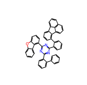 c1ccc(-c2ccccc2-c2nc(-c3ccccc3-c3cccc4c3-c3cccc5cccc-4c35)nc(-c3cccc4oc5ccccc5c34)n2)cc1